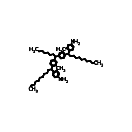 CCCCCCCCCCC(c1ccc(C(CCCCCCC)c2ccc(C(CCCCCCCCCC)c3ccc(N)cc3C)cc2)cc1)c1ccc(N)cc1C